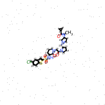 CN(C(=O)C1CC1)C1CCN(C[C@@H]2CCCN2C(=O)CN2CCC[C@H](NS(=O)(=O)c3cc4cc(Cl)ccc4s3)C2=O)C1